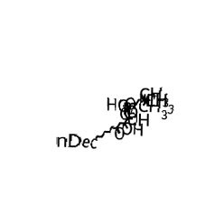 CCCCCCCCCCCCCCCC(=O)CC(O)C(O)OP(=O)(O)OCC[N+](C)(C)C